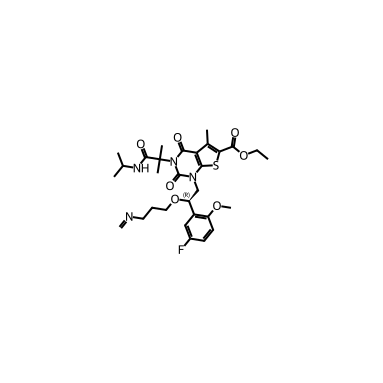 C=NCCCO[C@@H](Cn1c(=O)n(C(C)(C)C(=O)NC(C)C)c(=O)c2c(C)c(C(=O)OCC)sc21)c1cc(F)ccc1OC